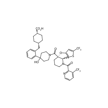 CCC[C@H]1N(C(=O)c2ncccc2C(F)(F)F)CCC[C@@]1(Oc1csc(C(F)(F)F)c1)C(=O)N1CCC(O)(c2ccccc2C[C@H]2CC[C@@H](C(=O)O)CC2)CC1